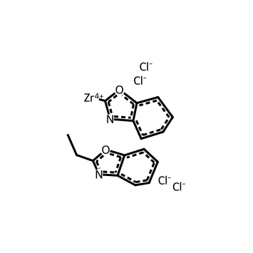 CCc1nc2ccccc2o1.[Cl-].[Cl-].[Cl-].[Cl-].[Zr+4][c]1nc2ccccc2o1